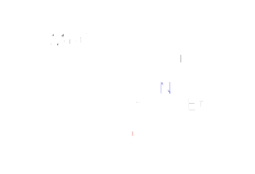 CCN(C(=O)C(C)COC)C(C)C